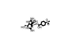 CS(=O)(=O)C1CCC(C(O)O[C@H]2CN3C(=N)N[C@@H](CO)C4NC(N)NC43C2(O)O)CC1